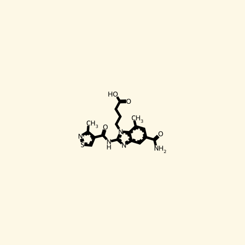 Cc1nscc1C(=O)Nc1nc2cc(C(N)=O)cc(C)c2n1CCCC(=O)O